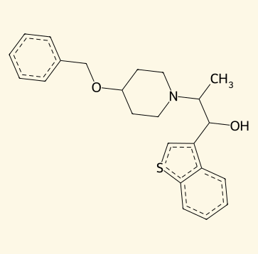 CC(C(O)c1csc2ccccc12)N1CCC(OCc2ccccc2)CC1